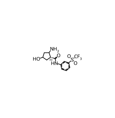 NC1CC(O)C[C@@H]1C(=O)Nc1cccc(S(=O)(=O)C(F)(F)F)c1